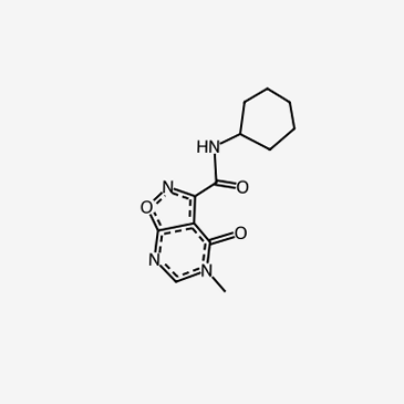 Cn1cnc2onc(C(=O)NC3CCCCC3)c2c1=O